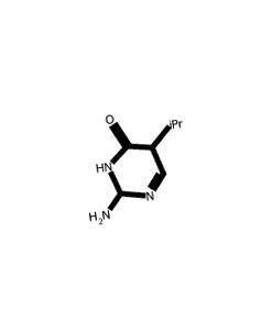 CC(C)C1C=NC(N)NC1=O